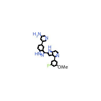 COc1cc(F)cc(-c2nccc3[nH]c(-c4n[nH]c5ccc(-c6cncc(N)c6)cc45)cc23)c1